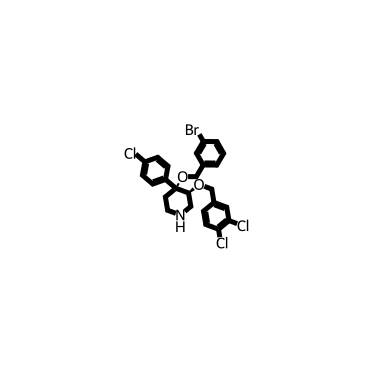 Clc1ccc([C@]2(OCc3cccc(Br)c3)CCNC[C@@H]2OCc2ccc(Cl)c(Cl)c2)cc1